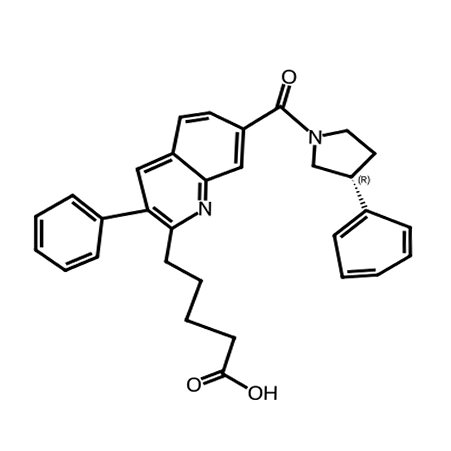 O=C(O)CCCCc1nc2cc(C(=O)N3CC[C@H](c4ccccc4)C3)ccc2cc1-c1ccccc1